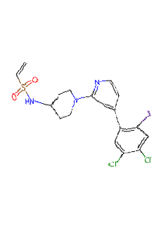 C=CS(=O)(=O)NC1CCN(c2cc(-c3cc(Cl)c(Cl)cc3I)ccn2)CC1